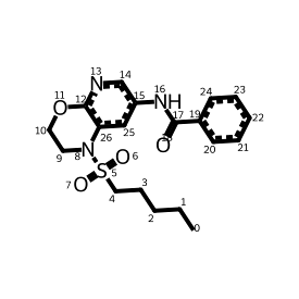 CCCCCS(=O)(=O)N1CCOc2ncc(NC(=O)c3ccccc3)cc21